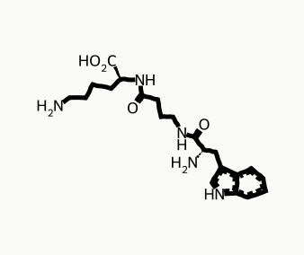 NCCCC[C@H](NC(=O)CCCNC(=O)[C@@H](N)Cc1c[nH]c2ccccc12)C(=O)O